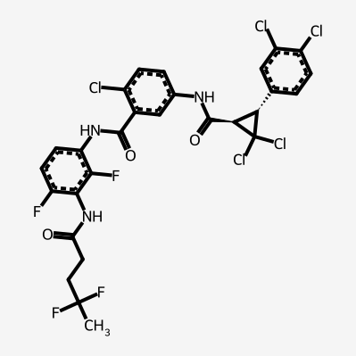 CC(F)(F)CCC(=O)Nc1c(F)ccc(NC(=O)c2cc(NC(=O)[C@H]3[C@H](c4ccc(Cl)c(Cl)c4)C3(Cl)Cl)ccc2Cl)c1F